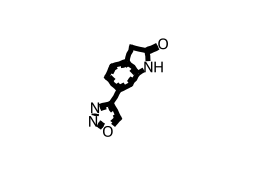 O=C1Cc2ccc(-c3conn3)cc2N1